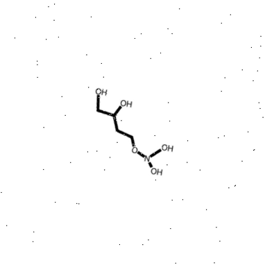 OCC(O)CCON(O)O